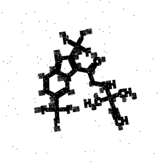 C#CC(C)(C)NCC(=O)c1c(C(F)(F)F)nc2ccc(C(F)(F)F)cn12